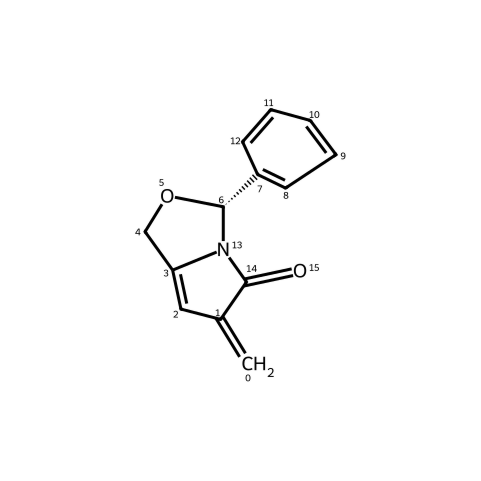 C=C1C=C2CO[C@H](c3ccccc3)N2C1=O